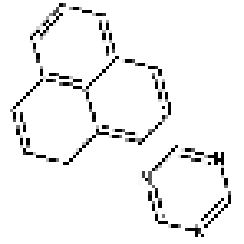 C1=Cc2cccc3cccc(c23)C1.c1ncncn1